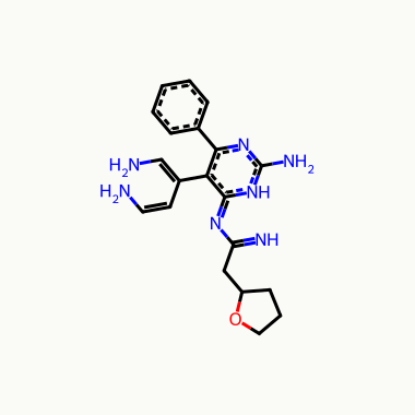 N=C(CC1CCCO1)/N=c1\[nH]c(N)nc(-c2ccccc2)c1C(/C=C\N)=C/N